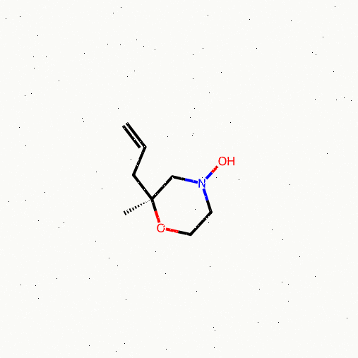 C=CC[C@@]1(C)CN(O)CCO1